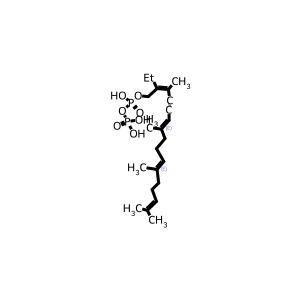 CCC(COP(=O)(O)OP(=O)(O)O)=C(C)CC/C=C(\C)CC/C=C(\C)CCC=C(C)C